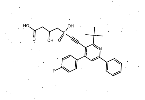 CC(C)(C)c1nc(-c2ccccc2)cc(-c2ccc(F)cc2)c1C#CP(=O)(O)CC(O)CC(=O)O